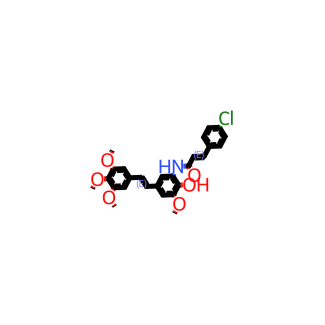 COc1cc(/C=C/c2cc(OC)c(OC)c(OC)c2)cc(NC(=O)/C=C/c2ccc(Cl)cc2)c1O